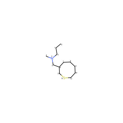 CCCN(C)CC1CCCCCSC1